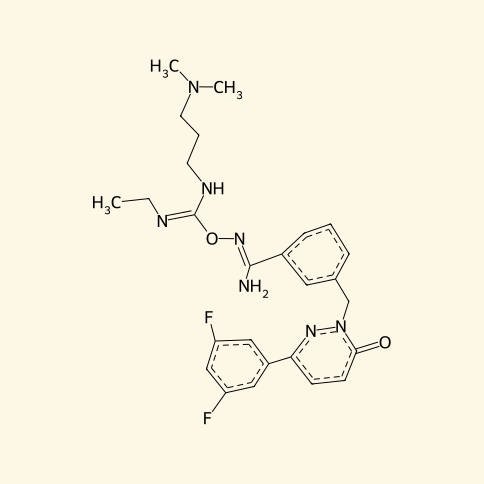 CC/N=C(\NCCCN(C)C)O/N=C(\N)c1cccc(Cn2nc(-c3cc(F)cc(F)c3)ccc2=O)c1